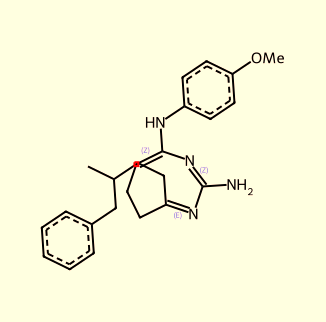 COc1ccc(NC2=C/CC/C(CCC(C)Cc3ccccc3)=N/C(N)=N\2)cc1